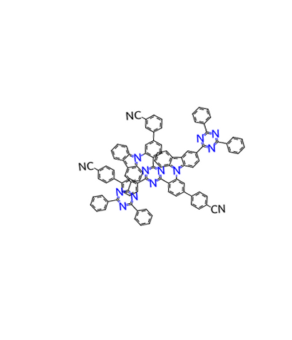 N#Cc1ccc(-c2cccc(-c3nc(-c4ccc(-c5ccc(C#N)cc5)cc4-n4c5ccccc5c5cc(-c6nc(-c7ccccc7)nc(-c7ccccc7)n6)ccc54)nc(-c4ccc(-c5cccc(C#N)c5)cc4-n4c5ccccc5c5cc(-c6nc(-c7ccccc7)nc(-c7ccccc7)n6)ccc54)n3)c2)cc1